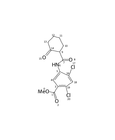 COC(=O)c1cc(NC(=O)C2CCCCC2=O)c(Cl)cc1Cl